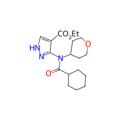 CCOC(=O)c1c[nH]nc1N(C(=O)C1CCCCC1)C1CCOCC1